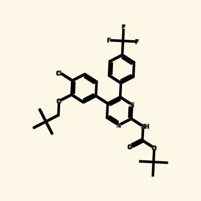 CC(C)(C)COc1cc(-c2cnc(NC(=O)OC(C)(C)C)nc2-c2ccc(C(F)(F)F)cc2)ccc1Cl